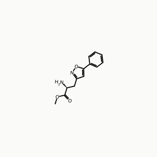 COC(=O)[C@@H](N)Cc1cc(-c2ccccc2)on1